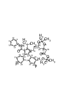 CC(C)c1c(C(=O)Nc2ccccc2)c(-c2ccc(F)cc2)c(-c2ccc(F)cc2)n1CC[C@@H]1C[C@H](CC(=O)OC(C)(C)C)OC(C)(C)O1